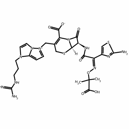 CC(C)(O/N=C(\C(=O)N[C@@H]1C(=O)N2C(C(=O)[O-])=C(C[n+]3ccc4n(CCCNC(=N)N)ccn43)CS[C@H]12)c1csc(N)n1)C(=O)O